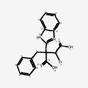 CCC(C(O)=S)C(Cc1ccccc1)(C(O)=S)c1nc2ccccc2[nH]1